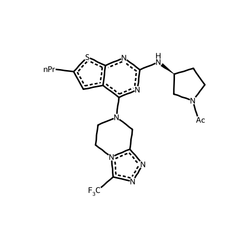 CCCc1cc2c(N3CCn4c(nnc4C(F)(F)F)C3)nc(N[C@H]3CCN(C(C)=O)C3)nc2s1